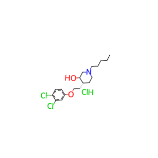 CCCCCN1CC[C@H](CCOc2ccc(Cl)c(Cl)c2)[C@@H](O)C1.Cl